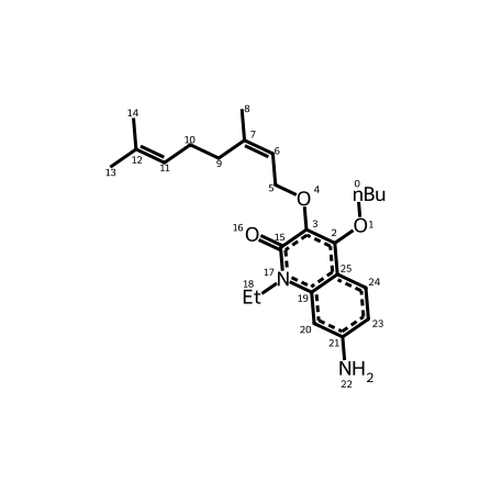 CCCCOc1c(OCC=C(C)CCC=C(C)C)c(=O)n(CC)c2cc(N)ccc12